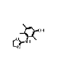 Cc1cc(O)c(C)c(NC2=NCCO2)c1C